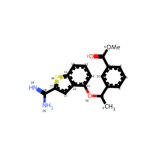 COC(=O)c1cccc(C(C)Oc2cccc3sc(C(=N)N)cc23)c1